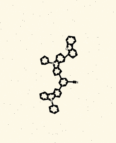 N#Cc1cc(-c2ccc3c(c2)c2ccccc2n3-c2ccccc2)cc(-c2ccc3c(c2)c2cc(-c4cccc5c4oc4ccccc45)ccc2n3-c2ccccc2)c1